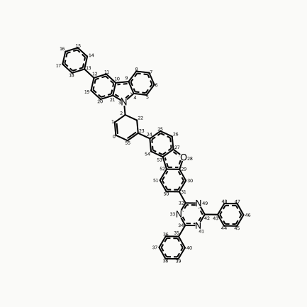 C1=CC(n2c3ccccc3c3cc(-c4ccccc4)ccc32)CC(c2ccc3oc4cc(-c5nc(-c6ccccc6)nc(-c6ccccc6)n5)ccc4c3c2)=C1